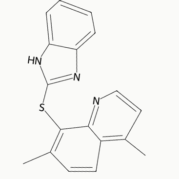 Cc1ccc2c(C)ccnc2c1Sc1nc2ccccc2[nH]1